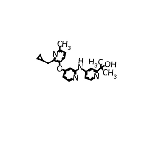 Cc1ccc(Oc2ccnc(Nc3ccnc(C(C)(C)O)c3)c2)c(CC2CC2)n1